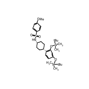 COc1ccc(S(=O)(=O)N[C@H]2CC[C@@H](c3ccc(O[Si](C)(C)C(C)(C)C)cc3O[Si](C)(C)C(C)(C)C)CC2)cc1